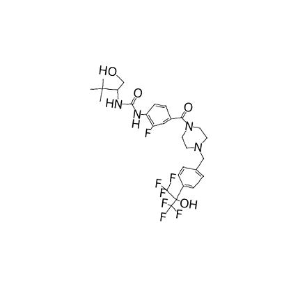 CC(C)(C)C(CO)NC(=O)Nc1ccc(C(=O)N2CCN(Cc3ccc(C(O)(C(F)(F)F)C(F)(F)F)cc3)CC2)cc1F